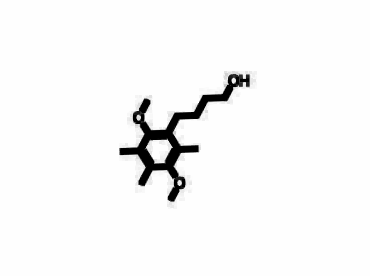 COc1c(C)c(C)c(OC)c(CCCCO)c1C